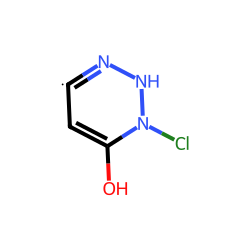 OC1=C[C]=NNN1Cl